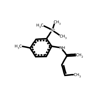 C=C(/C=C\C)Nc1ccc(C)cc1[N+](C)(C)C